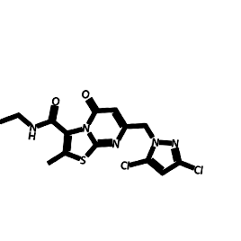 CCNC(=O)c1c(C)sc2nc(Cn3nc(Cl)cc3Cl)cc(=O)n12